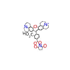 O=C(ON1C(=O)CCC1=O)c1ccc(C2=c3cc4c5c(c3Oc3c2cc2c6c3CCCN6CCC2)CCC[N+]=5CCC4)c(C(=O)O)c1